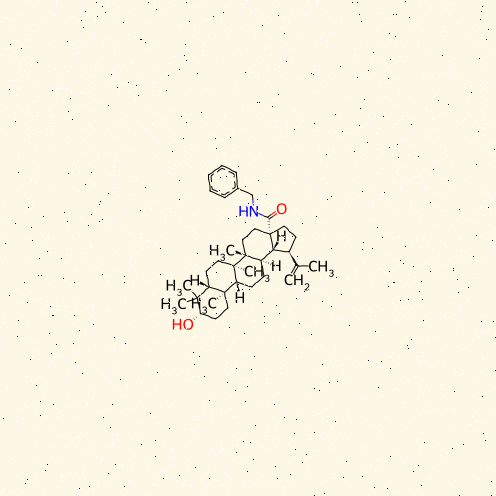 C=C(C)[C@@H]1CC[C@]2(C(=O)NCc3ccccc3)CC[C@]3(C)[C@H](CC[C@@H]4[C@@]5(C)CC[C@H](O)C(C)(C)[C@@H]5CC[C@]43C)[C@@H]12